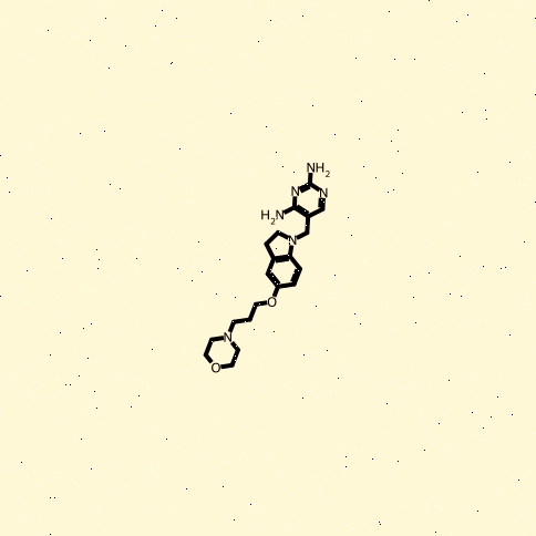 Nc1ncc(CN2CCc3cc(OCCCN4CCOCC4)ccc32)c(N)n1